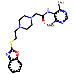 CSc1ncnc(SC)c1NC(=O)CN1CCN(CCSc2nc3ccccc3o2)CC1